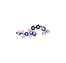 CCN(CC)C1CCN(Cc2ccc(-c3cccc(-n4c(=O)n([C@H]5CC[C@@H](NC(=O)c6csc(C)n6)CC5)c(=O)c5cc(F)cnc54)c3)cc2)CC1